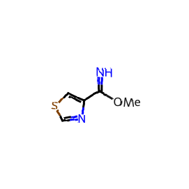 COC(=N)c1cscn1